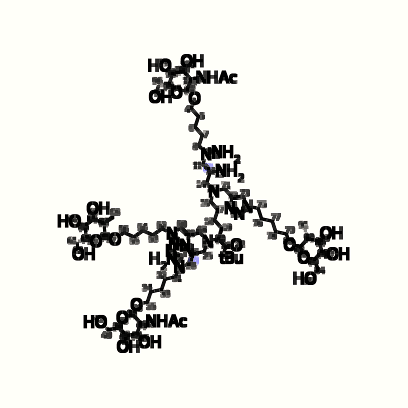 CC(=O)N[C@H]1[C@H](OCCCCCN(N)/C=C(\N)CN(CCCC[C@@H](C(=O)C(C)(C)C)N(C/C(N)=C/N(N)CCCCCO[C@@H]2O[C@H](CO)[C@H](O)[C@H](O)[C@H]2NC(C)=O)Cc2cn(CCCCCO[C@@H]3O[C@H](CO)[C@H](O)[C@H](O)[C@H]3C)nn2)Cc2cn(CCCCCO[C@@H]3O[C@H](CO)[C@H](O)[C@H](O)[C@H]3C)nn2)O[C@H](CO)[C@H](O)[C@@H]1O